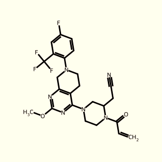 C=CC(=O)N1CCN(c2nc(OC)nc3c2CCN(c2ccc(F)cc2C(F)(F)F)C3)CC1CC#N